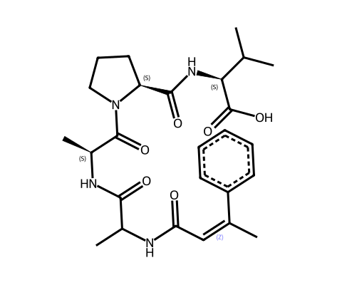 C/C(=C/C(=O)NC(C)C(=O)N[C@@H](C)C(=O)N1CCC[C@H]1C(=O)N[C@H](C(=O)O)C(C)C)c1ccccc1